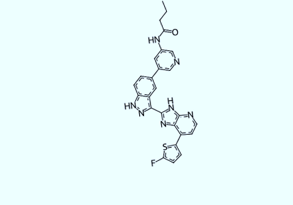 CCCC(=O)Nc1cncc(-c2ccc3[nH]nc(-c4nc5c(-c6ccc(F)s6)ccnc5[nH]4)c3c2)c1